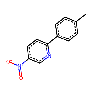 [CH2]c1ccc(-c2ccc([N+](=O)[O-])cn2)cc1